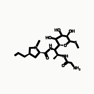 CCC[C@@H]1C[C@@H](C(=O)N[C@H]([C@H](C)NC(=O)CN)[C@H]2OC(SC)[C@H](O)C(O)C2O)N(C)C1